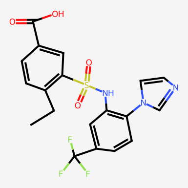 CCc1ccc(C(=O)O)cc1S(=O)(=O)Nc1cc(C(F)(F)F)ccc1-n1ccnc1